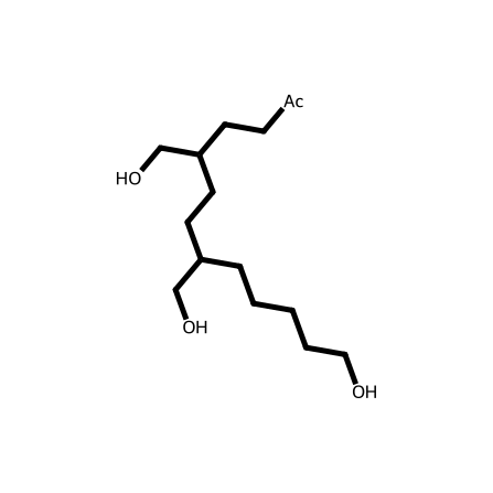 CC(=O)CCC(CO)CCC(CO)CCCCCO